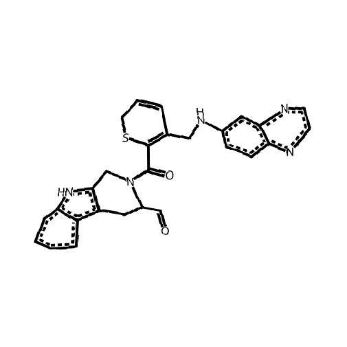 O=CC1Cc2c([nH]c3ccccc23)CN1C(=O)C1=C(CNc2ccc3nccnc3c2)C=CCS1